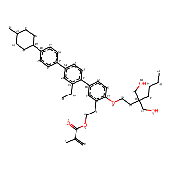 C=C(C)C(=O)OCCc1cc(-c2ccc(-c3ccc(C4CCC(C)CC4)cc3)cc2CC)ccc1OCCC(CO)(CO)CCCC